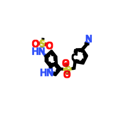 CS(=O)(=O)Nc1ccc2c(S(=O)(=O)Cc3ccc(C#N)cc3)c[nH]c2c1